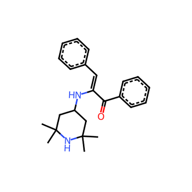 CC1(C)CC(NC(=Cc2ccccc2)C(=O)c2ccccc2)CC(C)(C)N1